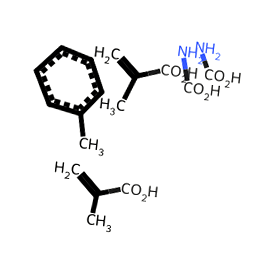 C=C(C)C(=O)O.C=C(C)C(=O)O.Cc1ccccc1.NC(=O)O.NC(=O)O